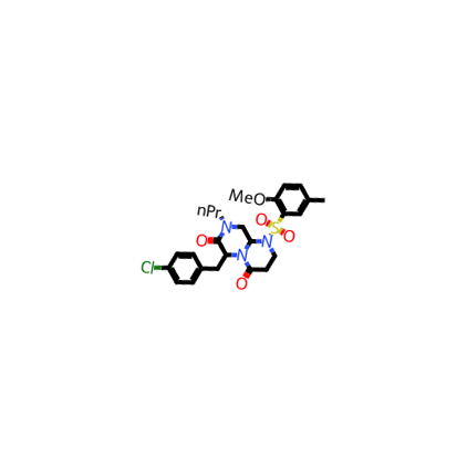 CCCN1CC2N(C(=O)CCN2S(=O)(=O)c2cc(C)ccc2OC)C(Cc2ccc(Cl)cc2)C1=O